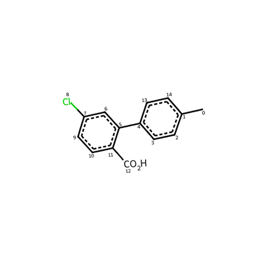 Cc1ccc(-c2cc(Cl)ccc2C(=O)O)cc1